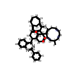 CC1/C=C\C=C/CC2=C(/C=C\1)C1(C3=CC=C4C=CC=CC(=C3S2)C4)C2=C(Cc3ccccc31)C(c1nc(-c3ccccc3)nc3ccccc13)CC=C2